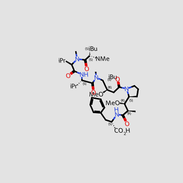 CC[C@H](C)C([C@@H](CC(=O)N1CCC[C@H]1[C@H](OC)[C@@H](C)C(=O)N[C@@H](Cc1ccccc1)C(=O)O)OC)N(C)C(=O)[C@@H](NC(=O)C(C(C)C)N(C)C(=O)[C@@H](NC)[C@@H](C)CC)C(C)C